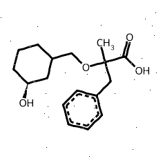 CC(Cc1ccccc1)(OCC1CCC[C@H](O)C1)C(=O)O